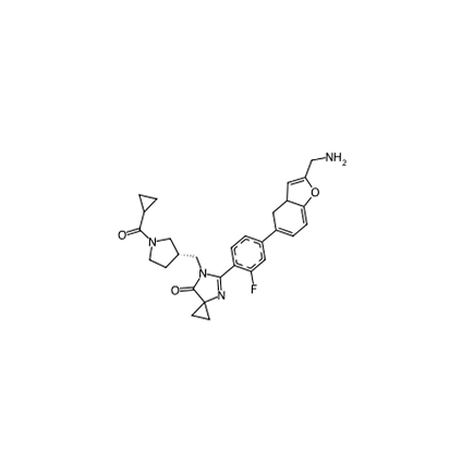 NCC1=CC2CC(c3ccc(C4=NC5(CC5)C(=O)N4C[C@@H]4CCN(C(=O)C5CC5)C4)c(F)c3)=CC=C2O1